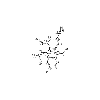 CCOc1ccc(C)c2c1[C@H](c1ccc(C#N)cc1OC)C=C(C)C2